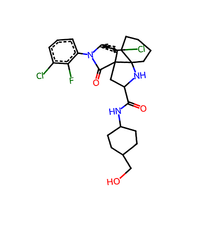 O=C(NC1CCC(CO)CC1)C1CC2(C(=O)N(c3cccc(Cl)c3F)c3cccc(Cl)c32)C2(CCCCC2)N1